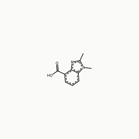 Cc1nc2c(C(=O)O)cccc2n1C